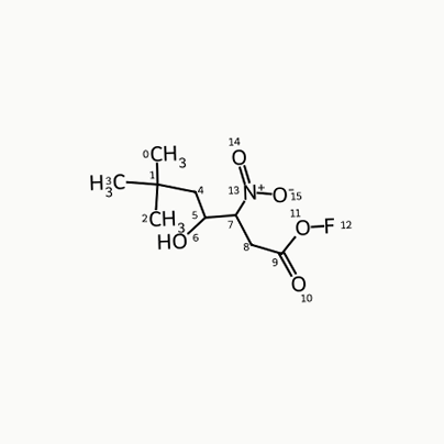 CC(C)(C)CC(O)C(CC(=O)OF)[N+](=O)[O-]